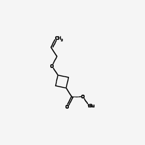 C=CCOC1CC(C(=O)OC(C)(C)C)C1